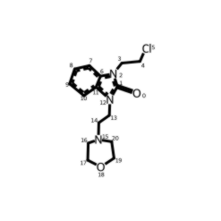 O=c1n(CCCl)c2ccccc2n1CCN1CCOCC1